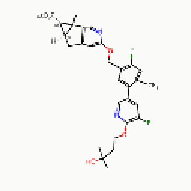 CCOC(=O)[C@H]1[C@@H]2Cc3cc(OCc4cc(-c5cnc(OCCC(C)(C)O)c(F)c5)c(C(F)(F)F)cc4F)ncc3C21C